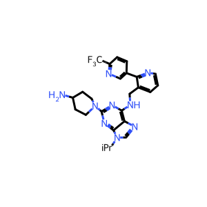 CC(C)n1cnc2c(NCc3cccnc3-c3ccc(C(F)(F)F)nc3)nc(N3CCC(N)CC3)nc21